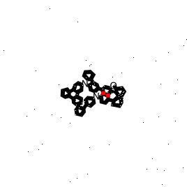 c1ccc(-c2ccc(N(c3ccc(-c4ccccc4)cc3)c3cc4c(cc3-c3ccc5c(c3)oc3ccccc35)c3ccccc3n4-c3ccc4c5ccccc5c5ccccc5c4c3)cc2)cc1